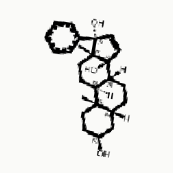 C[C@]12CC[C@H](O)C[C@H]1CC[C@@H]1[C@@H]2CC[C@]2(C)[C@@](O)(c3ccccc3)C=C[C@]12O